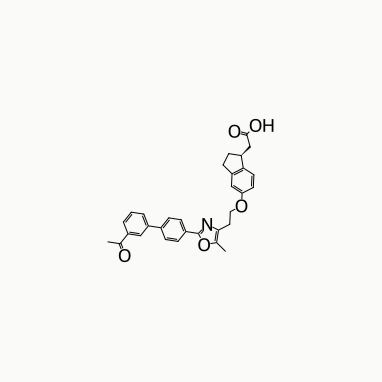 CC(=O)c1cccc(-c2ccc(-c3nc(CCOc4ccc5c(c4)CC[C@H]5CC(=O)O)c(C)o3)cc2)c1